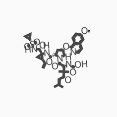 C=CC1CC1(NC(=O)[C@@H]1C[C@@H](Oc2nccc3cc(OC)ccc23)CN1C(=O)[C@@H](NC(=O)O)C(C)(C)C(=O)C=C(C)C)C(=O)NS(=O)(=O)C1CC1